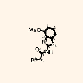 COc1cccc2sc(NC(=O)CBr)nc12